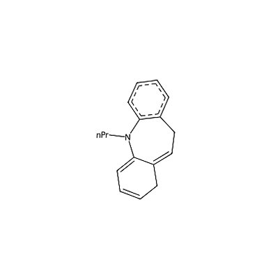 [CH2]CCN1C2=CC=CCC2=CCc2ccccc21